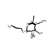 CC(=O)O[C@H]1[C@H](OC(C)=O)[C@H](OCCN)O[C@@H](C)[C@H]1OC(C)=O